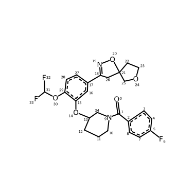 O=C(c1ccc(F)cc1)N1CCCC(Oc2cc(C3=NOC4(CCOC4)C3)ccc2OC(F)F)C1